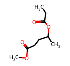 C[CH]C(=O)OC(C)CCC(=O)OC